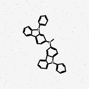 CN(c1ccc2c(c1)c1ccccc1n2-c1ccccc1)c1ccc2c3ccccc3n(-c3ccccc3)c2c1